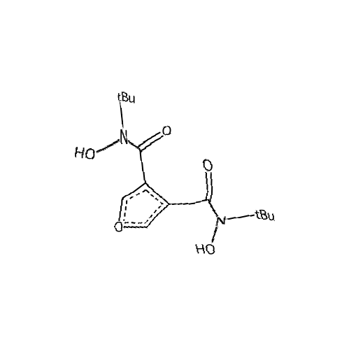 CC(C)(C)N(O)C(=O)c1cocc1C(=O)N(O)C(C)(C)C